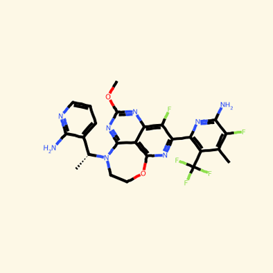 COc1nc2c3c(nc(-c4nc(N)c(F)c(C)c4C(F)(F)F)c(F)c3n1)OCCN2[C@H](C)c1cccnc1N